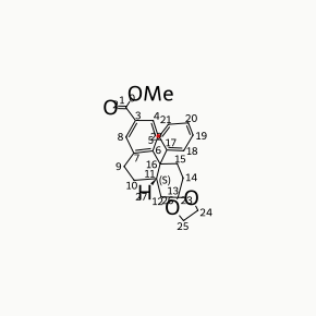 COC(=O)c1ccc2c(c1)CC[C@H]1CC3(CCC21c1ccccc1)OCCO3